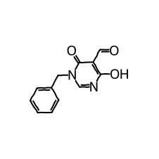 O=Cc1c(O)ncn(Cc2ccccc2)c1=O